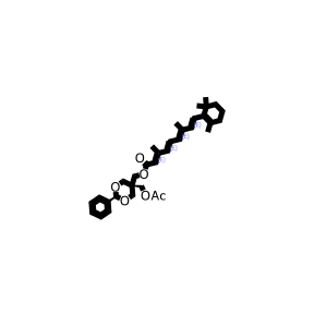 CC(=O)OC[C@]1(COC(=O)/C=C(C)/C=C/C=C(C)/C=C/C2=C(C)CCCC2(C)C)CO[C@H](c2ccccc2)OC1